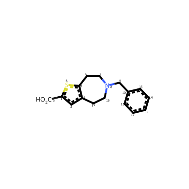 O=C(O)c1cc2c(s1)CCN(Cc1ccccc1)CC2